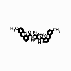 CCC(NC(=O)c1cccc2cc3cc(C)ccc3nc12)C(N)C(CC)NC(=O)c1cccc2cc3cc(C)ccc3nc12